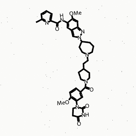 COc1cc2nn(C3CCCN(CCC4CCN(C(=O)c5ccc(OC)c(N6CCC(=O)NC6=O)c5)CC4)CC3)cc2cc1NC(=O)c1cccc(C)n1